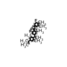 CCC(C)c1cc(C)c(C(C)c2cc(C)c(C(F)(F)Oc3cc(C)c(C)c(F)c3)c(F)c2)c(C)c1